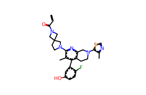 C=CC(=O)N1CC2(CCN(c3nc4c(c(-c5cc(O)ccc5F)c3C)CCN(c3scnc3C)C4)C2)C1